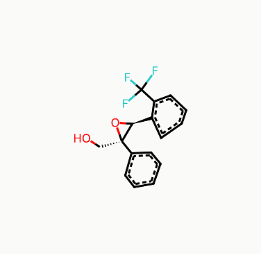 OC[C@]1(c2ccccc2)O[C@H]1c1ccccc1C(F)(F)F